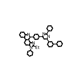 CCc1nc2c3c(-c4ccc(-c5cc(-c6cccc(-c7ccccc7)c6)nc(-c6ccccc6)n5)cc4)nc4ccccc4c3ccc2n1-c1ccccc1